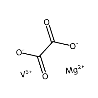 O=C([O-])C(=O)[O-].[Mg+2].[V+5]